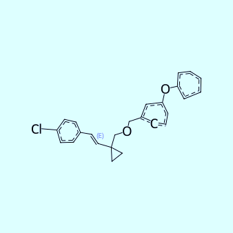 Clc1ccc(/C=C/C2(COCc3cccc(Oc4ccccc4)c3)CC2)cc1